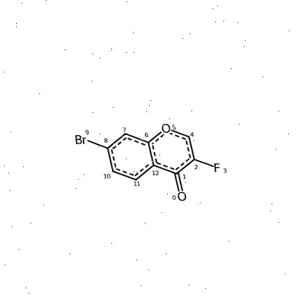 O=c1c(F)coc2cc(Br)ccc12